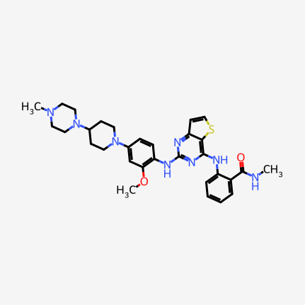 CNC(=O)c1ccccc1Nc1nc(Nc2ccc(N3CCC(N4CCN(C)CC4)CC3)cc2OC)nc2ccsc12